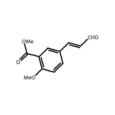 COC(=O)c1cc(C=CC=O)ccc1OC